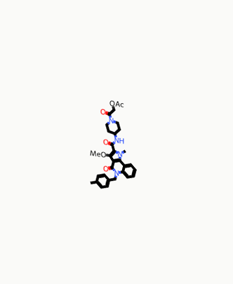 COc1c(C(=O)NC2CCN(C(=O)COC(C)=O)CC2)n(C)c2c1c(=O)n(Cc1ccc(C)cc1)c1ccccc21